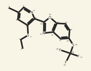 CCSc1cc(C)cnc1-c1nc2cc(SC(F)(F)F)ccc2o1